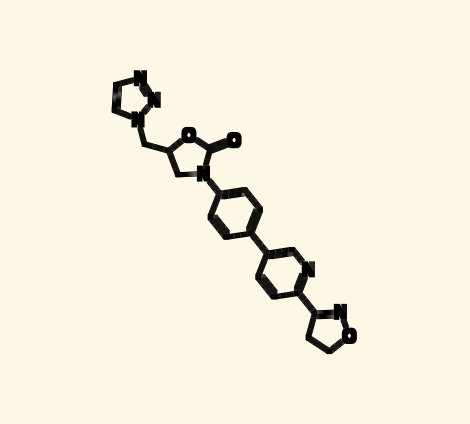 O=C1OC(Cn2ccnn2)CN1c1ccc(-c2ccc(C3=NOCC3)nc2)cc1